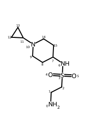 NCCS(=O)(=O)NC1CCN(C2CC2)CC1